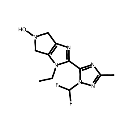 CCn1c(-c2nc(C)nn2C(F)F)nc2c1CN(O)C2